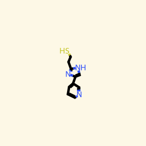 SCCc1nc(-c2cccnc2)c[nH]1